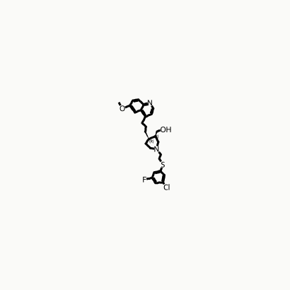 COc1ccc2nccc(CCC[C@@H]3CCN(CCSc4cc(F)cc(Cl)c4)C[C@@H]3CO)c2c1